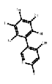 [2H]c1c([2H])c([2H])c(-c2cnc(F)cc2C)c([2H])c1[2H]